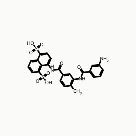 Cc1ccc(C(=O)Nc2ccc(S(=O)(=O)O)c3cccc(S(=O)(=O)O)c23)cc1NC(=O)c1cccc(N)c1